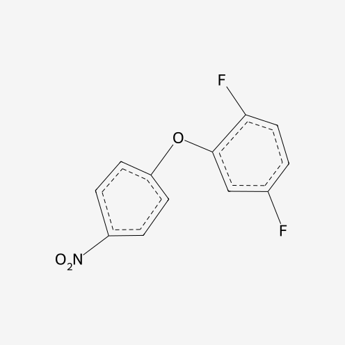 O=[N+]([O-])c1ccc(Oc2cc(F)ccc2F)cc1